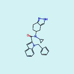 O=C(c1cc2ccccc2n1Cc1ccccc1)N(C1CC1)C1CCc2n[nH]cc2C1